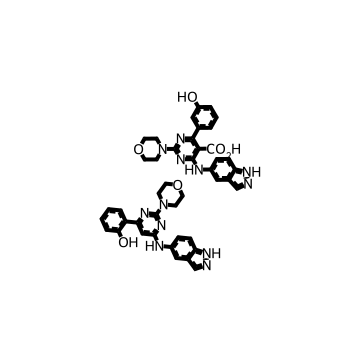 O=C(O)c1c(Nc2ccc3[nH]ncc3c2)nc(N2CCOCC2)nc1-c1cccc(O)c1.Oc1ccccc1-c1cc(Nc2ccc3[nH]ncc3c2)nc(N2CCOCC2)n1